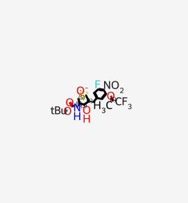 C[C@H](Oc1cc(C[C@@H]2C[S@@+]([O-])C[C@H](NC(=O)OC(C)(C)C)[C@H]2O)cc(F)c1[N+](=O)[O-])C(F)(F)F